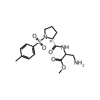 COC(=O)C(CN)NC(=O)[C@H]1CCCN1S(=O)(=O)c1ccc(C)cc1